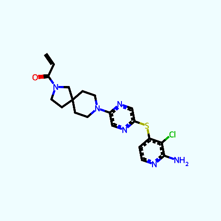 C=CC(=O)N1CCC2(CCN(c3cnc(Sc4ccnc(N)c4Cl)cn3)CC2)C1